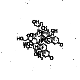 C[C@]12C=CC(=O)C=C1CC[C@H]1[C@@H]3C[C@@H](O)[C@](O)(C(=O)CO)[C@@]3(C)C[C@H](O)[C@@]12F.C[C@]12C[C@H](O)[C@H]3[C@@H](CCC4=CC(=O)CC[C@@]43C)[C@@H]1CC[C@@H]2C(=O)CO